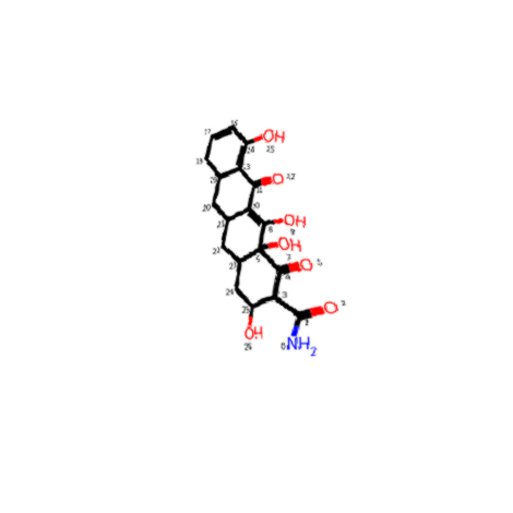 NC(=O)C1C(=O)C2(O)C(O)=C3C(=O)C4=C(O)C=CCC4CC3CC2CC1O